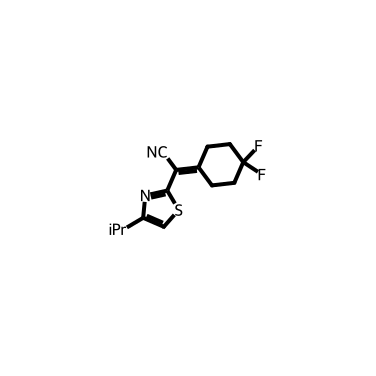 CC(C)c1csc(C(C#N)=C2CCC(F)(F)CC2)n1